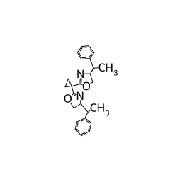 CC(c1ccccc1)C1COC(C2(C3=N[C@@H](C(C)c4ccccc4)CO3)CC2)=N1